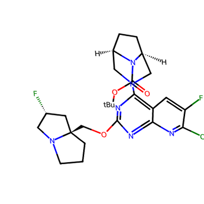 CC(C)(C)OC(=O)N1[C@@H]2CC[C@H]1CN(c1nc(OC[C@@]34CCCN3C[C@H](F)C4)nc3nc(Cl)c(F)cc13)C2